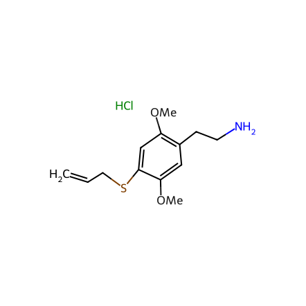 C=CCSc1cc(OC)c(CCN)cc1OC.Cl